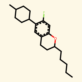 CCCCCC1CCc2cc(C3CCC(C)CC3)c(F)cc2O1